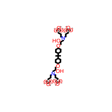 CO[Si](CCCN(CCC[Si](OC)(OC)OC)CC(O)COC1CCC(C(C)(C)C2CCC(OCC(O)CN(CCC[Si](OC)(OC)OC)CCC[Si](OC)(OC)OC)CC2)CC1)(OC)OC